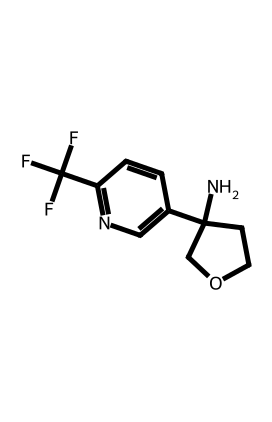 NC1(c2ccc(C(F)(F)F)nc2)CCOC1